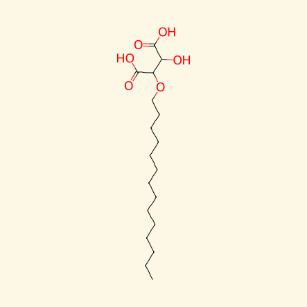 CCCCCCCCCCCCCCOC(C(=O)O)C(O)C(=O)O